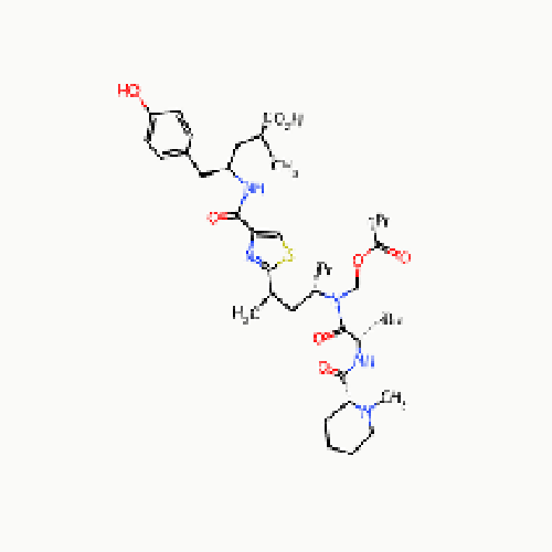 CCCC(=O)OCN(C(=O)[C@@H](NC(=O)[C@H]1CCCCN1C)C(C)CC)[C@H](C[C@@H](C)c1nc(C(=O)N[C@@H](Cc2ccc(O)cc2)C[C@H](C)C(=O)O)cs1)C(C)C